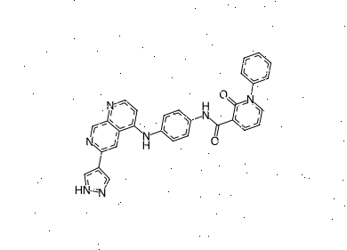 O=C(Nc1ccc(Nc2ccnc3cnc(-c4cn[nH]c4)cc23)cc1)c1cccn(-c2ccccc2)c1=O